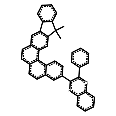 CC1(C)c2ccccc2-c2cc3ccc4ccc5cc(-c6nc7ccccc7nc6-c6ccccc6)ccc5c4c3cc21